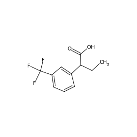 CCC(C(=O)O)c1cccc(C(F)(F)F)c1